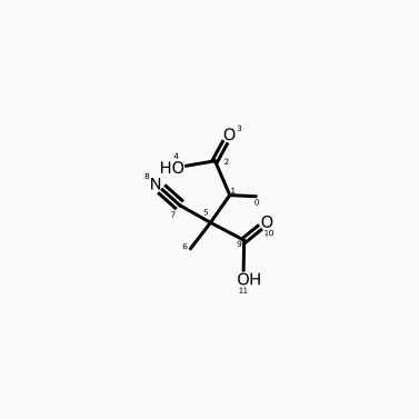 CC(C(=O)O)C(C)(C#N)C(=O)O